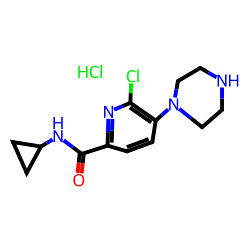 Cl.O=C(NC1CC1)c1ccc(N2CCNCC2)c(Cl)n1